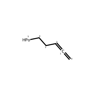 C=C=CC[CH2][PoH]